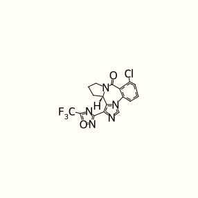 O=C1c2c(Cl)cccc2-n2cnc(-c3noc(C(F)(F)F)n3)c2[C@@H]2CCCN12